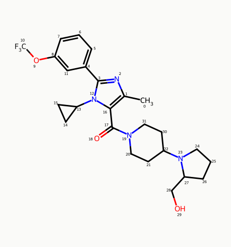 Cc1nc(-c2cccc(OC(F)(F)F)c2)n(C2CC2)c1C(=O)N1CCC(N2CCCC2CO)CC1